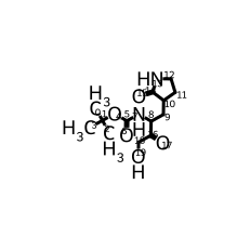 CC(C)(C)OC(=O)NC(CC1CCNC1=O)C(=O)CO